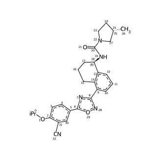 CC(C)Oc1ccc(-c2nc(-c3cccc4c3CCC[C@H]4NC(=O)N3CC[C@H](C)C3)no2)cc1C#N